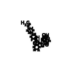 CCCN1CCN(c2ccc(C(=O)N[C@H](C(=O)N3C[C@H](O)[C@H]4OCC(=O)[C@H]43)C3CCCCC3)cc2)CC1